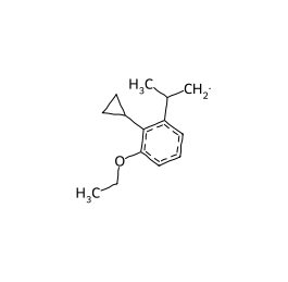 [CH2]C(C)c1cccc(OCC)c1C1CC1